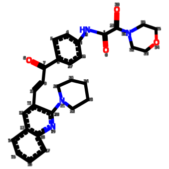 O=C(Nc1ccc(C(=O)/C=C/c2cc3ccccc3nc2N2CCCCC2)cc1)C(=O)N1CCOCC1